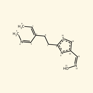 C/C=C(\C=N/C)CCc1nc(/C=N\O)cs1